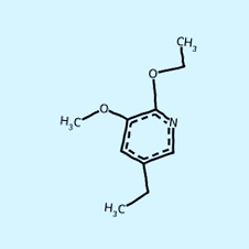 CCOc1ncc(CC)cc1OC